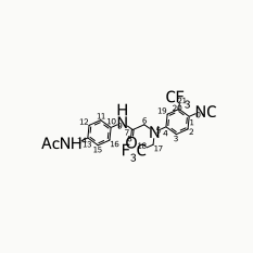 [C-]#[N+]c1ccc(N(CC(=O)Nc2ccc(NC(C)=O)cc2)CC(F)(F)F)cc1C(F)(F)F